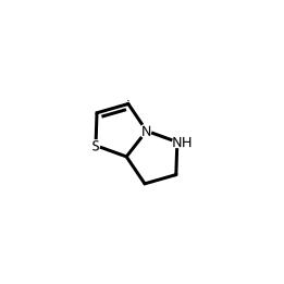 [C]1=CSC2CCNN12